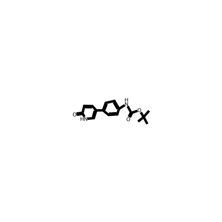 CC(C)(C)OC(=O)Nc1ccc(-c2ccc(=O)[nH]c2)cc1